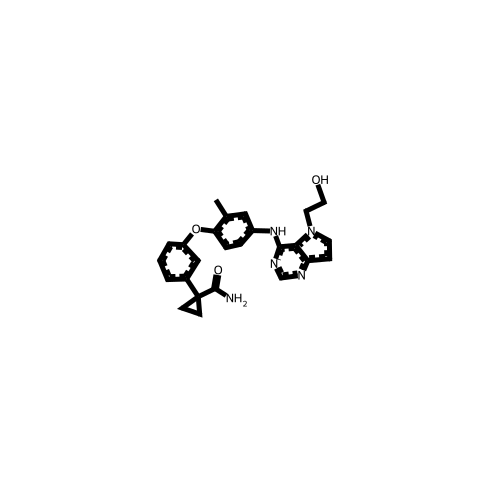 Cc1cc(Nc2ncnc3ccn(CCO)c23)ccc1Oc1cccc(C2(C(N)=O)CC2)c1